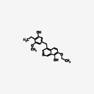 CCOc1ccc2c(Cc3cc(O)c(CC)c(OC)c3)cncc2c1O